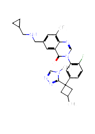 CC1CC(c2ccc(F)c(-n3cnc4c(C(F)(F)F)cc(CNCC5CC5)cc4c3=O)c2)(c2nncn2C)C1